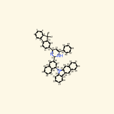 CC1(C)c2ccccc2-c2ccc(C3=NC(c4cc(-n5c6ccccc6c6cc7ccccc7cc65)c5ccccc5c4)NC(c4ccccc4)=C3)cc21